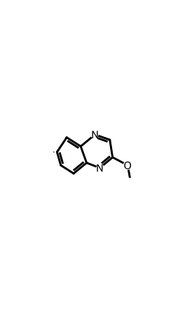 COc1cnc2c[c]ccc2n1